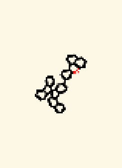 c1ccc2c(c1)-c1ccccc1C21c2cc(-c3ccc4c(c3)Oc3cccc5cccc-4c35)ccc2-c2c1ccc1ccccc21